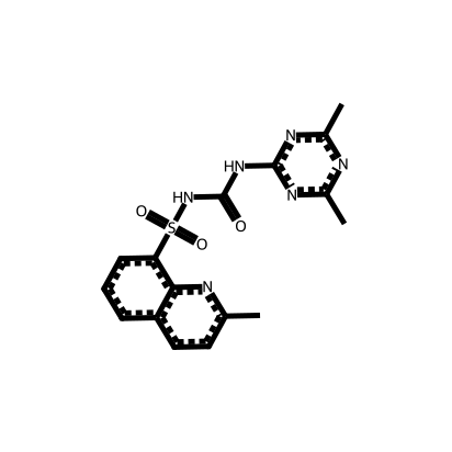 Cc1ccc2cccc(S(=O)(=O)NC(=O)Nc3nc(C)nc(C)n3)c2n1